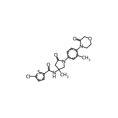 Cc1cc(N2CC(C)(NC(=O)c3ccc(Cl)s3)CC2=O)ccc1N1CCOCC1=O